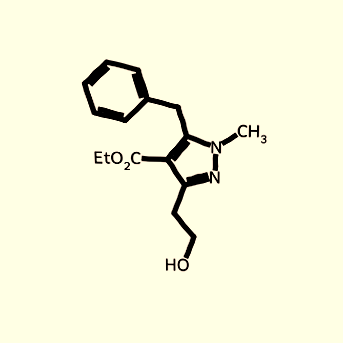 CCOC(=O)c1c(CCO)nn(C)c1Cc1ccccc1